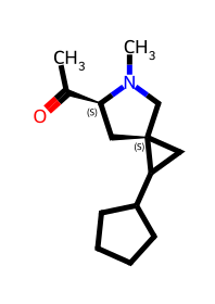 CC(=O)[C@@H]1C[C@]2(CC2C2CCCC2)CN1C